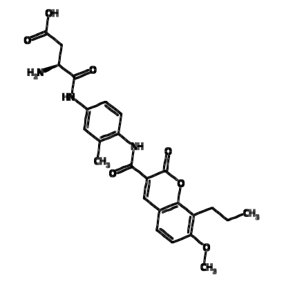 CCCc1c(OC)ccc2cc(C(=O)Nc3ccc(NC(=O)[C@@H](N)CC(=O)O)cc3C)c(=O)oc12